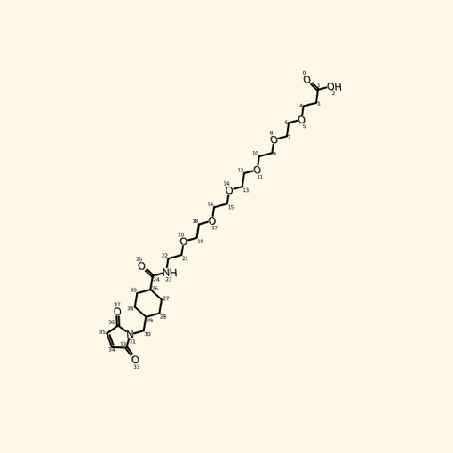 O=C(O)CCOCCOCCOCCOCCOCCOCCNC(=O)C1CCC(CN2C(=O)C=CC2=O)CC1